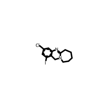 Clc1cc(I)c2c(c1)N=C1CCCCCN1C2